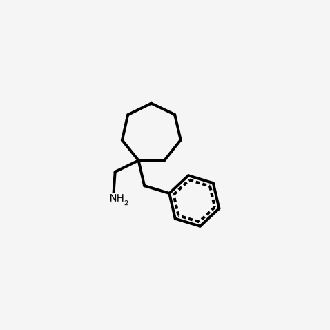 NCC1(Cc2ccccc2)CCCCCC1